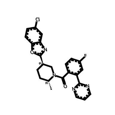 C[C@@H]1CC[C@@H](c2nc3cc(Cl)ccc3o2)CN1C(=O)c1ccc(F)cc1-c1ncccn1